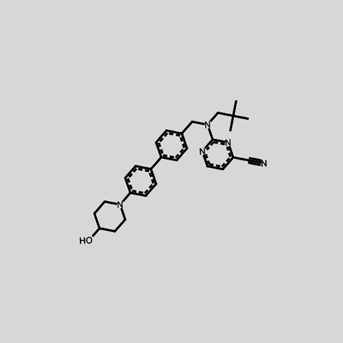 CC(C)(C)CN(Cc1ccc(-c2ccc(N3CCC(O)CC3)cc2)cc1)c1nccc(C#N)n1